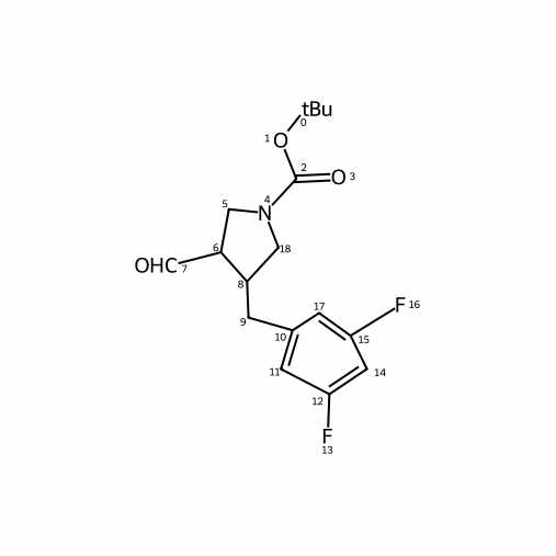 CC(C)(C)OC(=O)N1CC(C=O)C(Cc2cc(F)cc(F)c2)C1